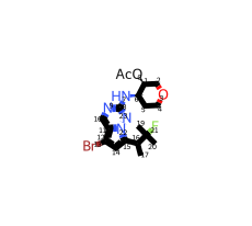 CC(=O)O[C@@H]1COCC[C@H]1Nc1ncc2c(Br)cc(C(C)C(C)(C)F)n2n1